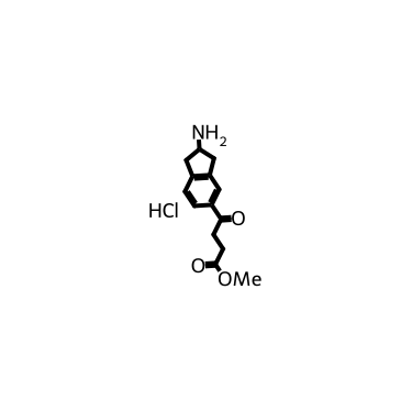 COC(=O)CCC(=O)c1ccc2c(c1)CC(N)C2.Cl